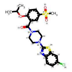 CC(C)Oc1ccc(S(C)(=O)=O)cc1C(=O)N1CCN(c2nc3ccc(Cl)cc3s2)CC1